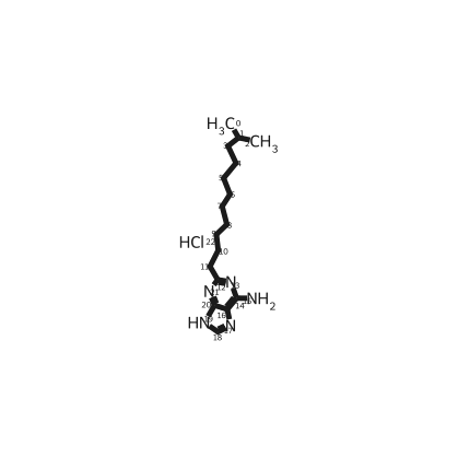 CC(C)CCCCCCCCCc1nc(N)c2nc[nH]c2n1.Cl